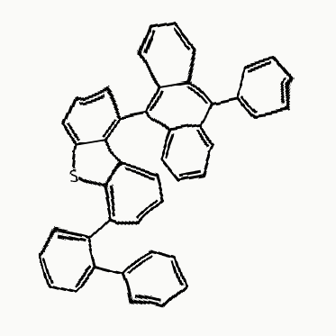 c1ccc(-c2ccccc2-c2cccc3c2sc2cccc(-c4c5ccccc5c(-c5ccccc5)c5ccccc45)c23)cc1